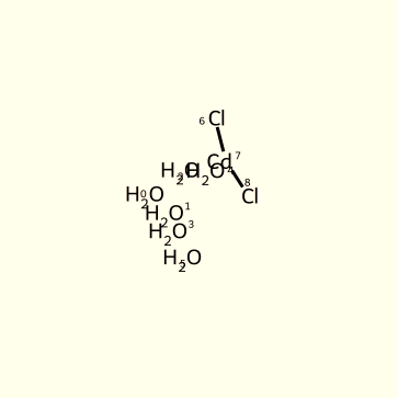 O.O.O.O.O.O.[Cl][Cd][Cl]